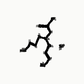 O=C([O-])CN(OCCO)OCCO.[Na+]